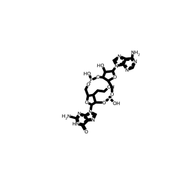 Nc1nc2c(ncn2C2OC3COP(O)OC4C(COP(O)OC2C3CCO)OC(n2cnc3c(N)ncnc32)C4O)c(=O)[nH]1